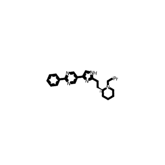 CC(C)CN1CCCC[C@H]1CCc1nc(-c2cnc(-c3ccccc3)nc2)c[nH]1